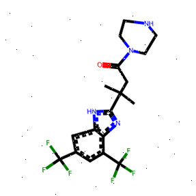 CC(C)(CC(=O)N1CCNCC1)c1nc2c(C(F)(F)F)cc(C(F)(F)F)cc2[nH]1